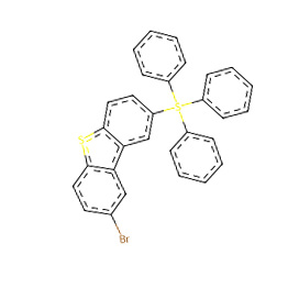 Brc1ccc2sc3ccc(S(c4ccccc4)(c4ccccc4)c4ccccc4)cc3c2c1